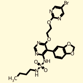 CCCCNS(=O)(=O)Nc1ncnc(OCCOc2ncc(Br)cn2)c1-c1ccc2c(c1)OCO2